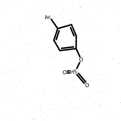 CC(=O)c1ccc(O[SH](=O)=O)cc1